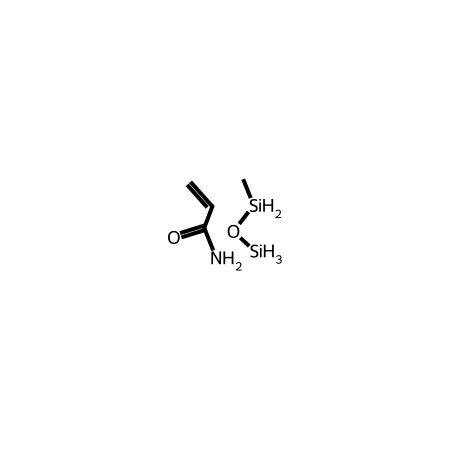 C=CC(N)=O.C[SiH2]O[SiH3]